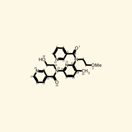 COCCN(C(=O)c1cccnc1)c1nc(N(CCO)C(=O)c2cccnc2)ccc1C